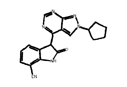 N#Cc1cccc2c1NC(=O)C2c1ncnc2nn(C3CCCC3)cc12